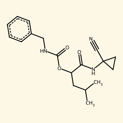 CC(C)CC(OC(=O)NCc1ccccc1)C(=O)NC1(C#N)CC1